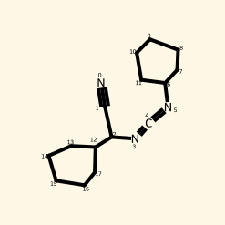 N#CC(N=C=NC1CCCCC1)C1CCCCC1